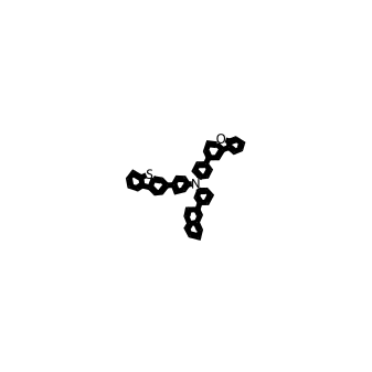 c1cc(-c2ccc3ccccc3c2)cc(N(c2ccc(-c3ccc4c(c3)sc3ccccc34)cc2)c2ccc(-c3ccc4oc5ccccc5c4c3)cc2)c1